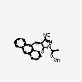 [C-]#[N+]C1=NN(C(=C)OO)C(=S)/C1=C\c1c2ccccc2cc2ccccc12